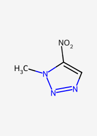 Cn1nncc1[N+](=O)[O-]